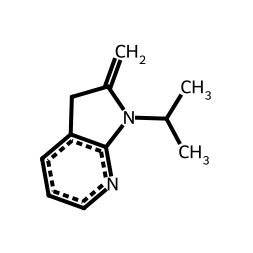 C=C1Cc2cccnc2N1C(C)C